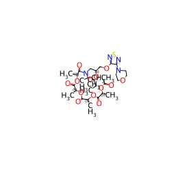 C[CH]C(=O)O[C@H](COc1nsnc1N1CCOCC1)CN(C(=O)[C@H](C)OC(=O)[C@H](C)OC(=O)[C@H](C)OC(=O)[C@H](C)OC(C)=O)C(C)(C)C